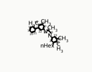 CCCCCCc1cc(N=CC(C)=Nc2cc(C)c(C)c(-c3ccccc3)c2)cc(C)c1C